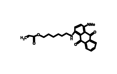 C=CC(=O)OCCCCCCNc1ccc(NC)c2c1C(=O)c1ccccc1C2=O